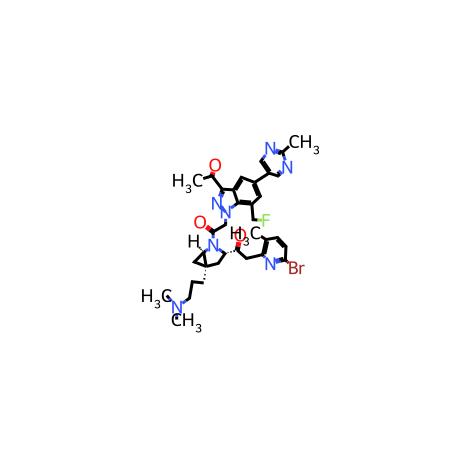 CC(=O)c1nn(CC(=O)N2[C@H](C(=O)Cc3nc(Br)ccc3C)C[C@@]3(CCCN(C)C)C[C@@H]23)c2c(CF)cc(-c3cnc(C)nc3)cc12